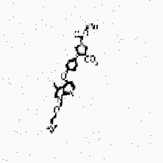 Cc1cn(COCCS(C)(C)C)c2nccc(Oc3ccc([C@H]4CN(C(=O)OC(C)(C)C)C[C@@H]4C(=O)O)cc3)c12